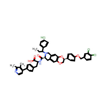 CCC(c1ccccc1)N1Cc2cc3c(cc2C[C@H]1C(=O)NC(Cc1ccc(-c2ccnc(C)c2C)cc1)C(=O)O)OC[C@H](c1ccc(OCc2ccc(Cl)c(Cl)c2)cc1)O3.Cl